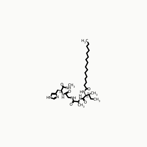 CCCCCCCCCCCCCCCC(=O)N[C@H](C(=O)N[C@@H](C)C(=O)NCC(=O)N[C@@H](Cc1c[nH]cn1)C(=O)NC)[C@@H](C)CC